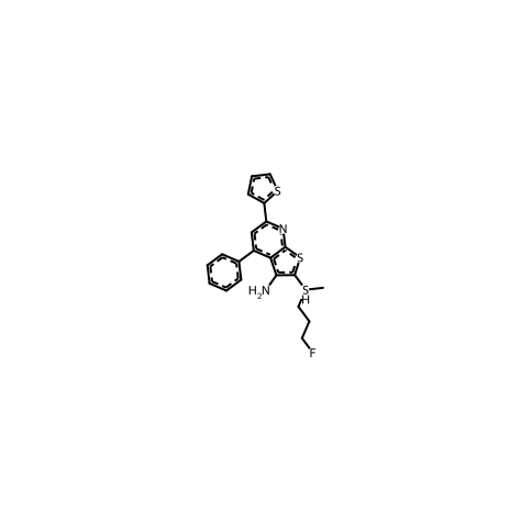 C[SH](CCCF)c1sc2nc(-c3cccs3)cc(-c3ccccc3)c2c1N